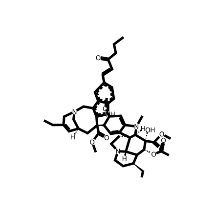 CCCC(=O)/C=C/c1ccc2[nH]c3c(c2c1)CN1CC(CC)=C[C@@H](C1)C[C@]3(C(=O)OC)C1C=C2C(=CC1OC)N(C)[C@H]1[C@@](O)(C(=O)OC)[C@H](OC(C)=O)C3[C@@H](CC)CCN4CC[C@]21[C@H]34